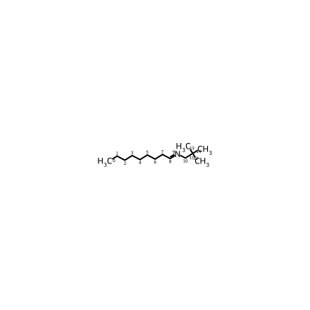 CCCCCCCCC=NCC(C)(C)C